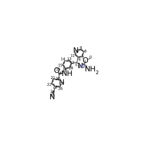 CO/C(N)=N\C(c1cccnc1)c1cccc(NC(=O)c2ccc(C#N)cn2)c1